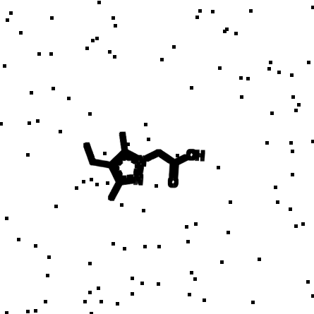 CCc1c(C)nn(CC(=O)O)c1C